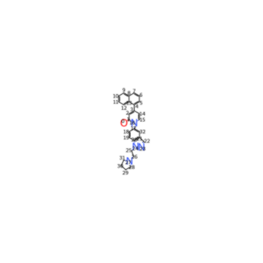 O=c1cc(-c2cccc3ccccc23)ccn1-c1ccc2c(cnn2CCN2CCCC2)c1